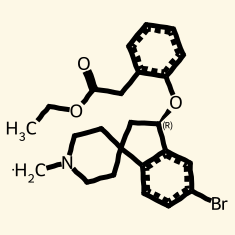 [CH2]N1CCC2(CC1)C[C@@H](Oc1ccccc1CC(=O)OCC)c1cc(Br)ccc12